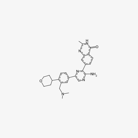 Cc1nc2cc(-c3nc(-c4ccc(C5CCOCC5)c(CN(C)C)c4)cnc3N)ccc2c(=O)[nH]1